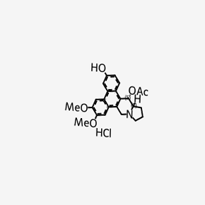 COc1cc2c3c(c4ccc(O)cc4c2cc1OC)[C@H](OC(C)=O)[C@@H]1CCCN1C3.Cl